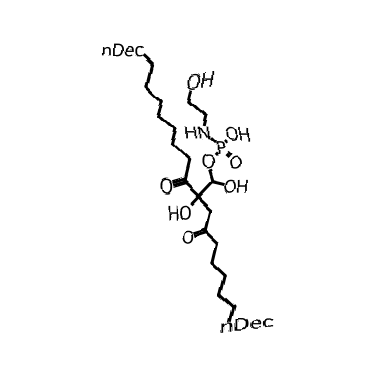 CCCCCCCCCCCCCCCCCC(=O)C(O)(CC(=O)CCCCCCCCCCCCCCC)C(O)OP(=O)(O)NCCO